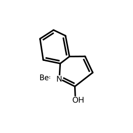 Oc1ccc2ccccc2n1.[Be]